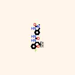 CCC1(CC)C[C@@H](NC(=O)Nc2ccc3c(c2)NC(=O)N(C)C3)c2cccc(F)c2O1